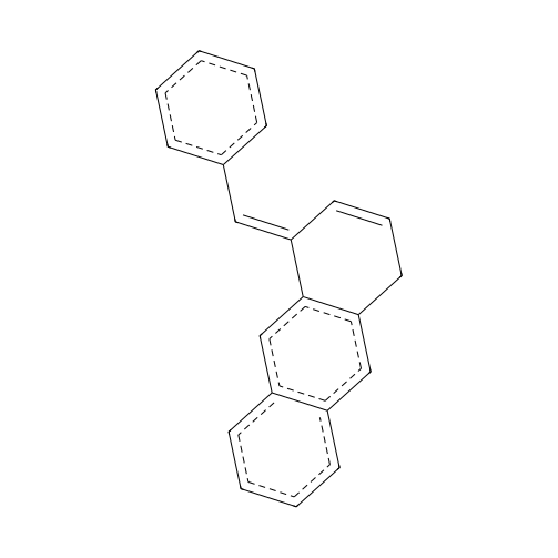 C1=CC(=Cc2ccccc2)c2cc3ccccc3cc2C1